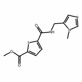 COC(=O)c1ccc(C(=O)NCc2cncn2C)s1